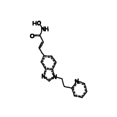 O=C(C=Cc1ccc2c(c1)ncn2CCc1ccccn1)NO